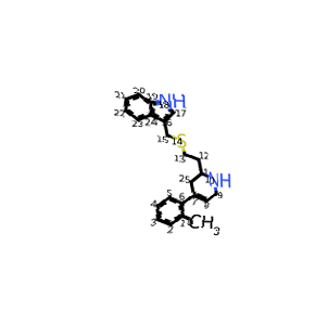 Cc1ccccc1C1=CCNC(CCSCc2c[nH]c3ccccc23)C1